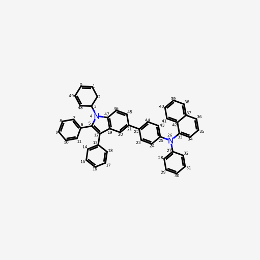 C1=CCC(n2c(-c3ccccc3)c(-c3ccccc3)c3cc(-c4ccc(N(c5ccccc5)c5cccc6ccccc56)cc4)ccc32)C=C1